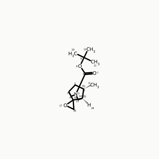 C[C@H]1CC2CN(C(=O)OC(C)(C)C)C[C@H]1C21CO1